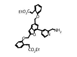 CCOC(=O)Cc1ccccc1OCc1cc(-c2ccnc(CN)c2)c2oc(COc3ccccc3CC(=O)OCC)cc2c1